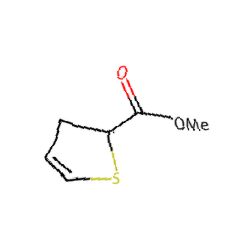 COC(=O)[C]1CC=CS1